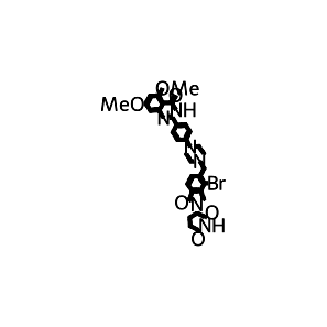 COc1cc(OC)c2c(=O)[nH]c(-c3ccc(N4CCN(Cc5ccc6c(c5Br)CN(C5CCC(=O)NC5=O)C6=O)CC4)cc3)nc2c1